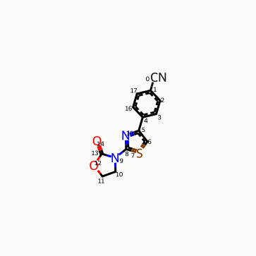 N#Cc1ccc(-c2csc(N3CCOC3=O)n2)cc1